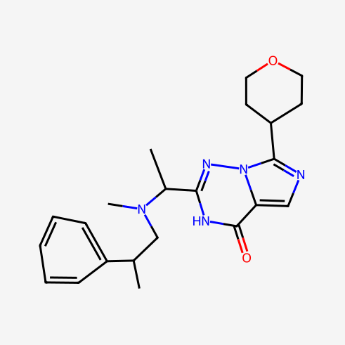 CC(CN(C)C(C)c1nn2c(C3CCOCC3)ncc2c(=O)[nH]1)c1ccccc1